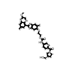 COc1cnc2c(-c3nc4cc(F)c(OCCOC(=O)Nc5ccc(C(=O)N6CC[C@@H](CO)C6)nc5)cc4s3)cc(C)cc2n1